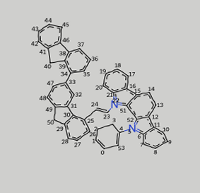 C1=CCCC(n2c3ccccc3c3ccc4c5ccccc5n(C=Cc5cccc6c5-c5cc(-c7cccc8c7Cc7ccccc7-8)ccc5C6)c4c32)=C1